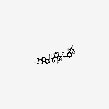 C=C(O)c1ccc2c(c1C)CC[C@@H]2NC(=O)c1ncnc2c(NCc3ccc4c(c3)NC(=O)CO4)n[nH]c12